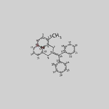 Cc1cccnc1CC(Cc1ccccc1)=C(c1ccccc1)c1ccccc1